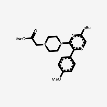 CCCCc1cnc(-c2ccc(OC)cc2)c(N2CCN(CC(=O)OC)CC2)n1